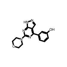 Oc1cccc(-c2nc(N3CCOCC3)nc3[nH]ncc23)c1